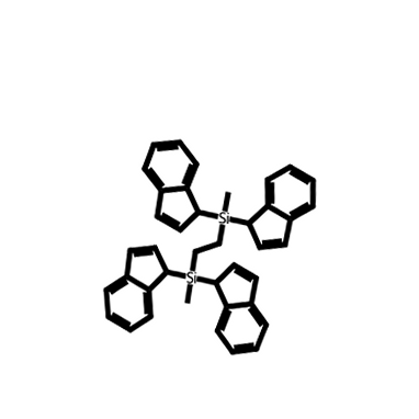 C[Si](CC[Si](C)(C1C=Cc2ccccc21)C1C=Cc2ccccc21)(C1C=Cc2ccccc21)C1C=Cc2ccccc21